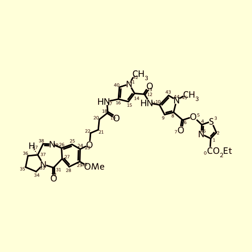 CCOC(=O)c1csc(OC(=O)c2cc(NC(=O)c3cc(NC(=O)CCCOc4cc5c(cc4OC)C(=O)N4CCC[C@H]4C=N5)cn3C)cn2C)n1